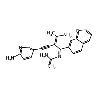 C=C(N)/N=C(\C(C#Cc1ccc(N)nc1)=C(\C)N)c1ccc2cccnc2c1